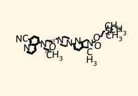 CC1c2ccc(N3CCN(C[C@H]4CN(c5ccc(C#N)c6ncccc56)C[C@@H](C)O4)CC3)nc2CN1C(=O)OCC[Si](C)(C)C